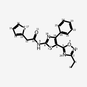 CCc1noc(-c2sc(NC(=O)Cc3cccs3)nc2-c2ccccc2)n1